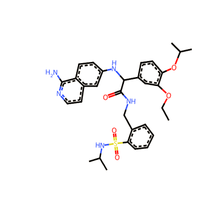 CCOc1cc(C(Nc2ccc3c(N)nccc3c2)C(=O)NCc2ccccc2S(=O)(=O)NC(C)C)ccc1OC(C)C